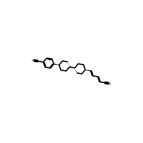 N#CC=CC=C[C@H]1CC[C@H]([C@H]2CC[C@H](c3ccc(C#N)cc3)CC2)CC1